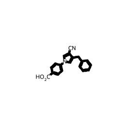 N#Cc1cn(-c2ccc(C(=O)O)cc2)cc1Cc1ccccc1